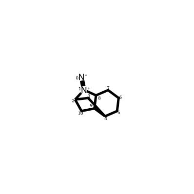 [N-]=[N+]1C2CC3CCCC1C3C2